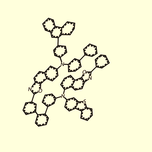 c1ccc(-c2cccc(N(c3ccc(-c4cc5ccccc5c5ccccc45)cc3)c3ccc4c(ccc5nc(-c6cccc(-c7ccccc7-c7cccc(N(c8ccc9c(c8)sc8ccccc89)c8cccc9c8ccc8nc(-c%10ccccc%10)oc89)c7)c6)oc54)c3)c2)cc1